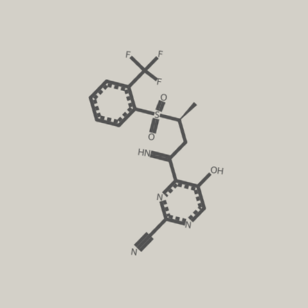 C[C@@H](CC(=N)c1nc(C#N)ncc1O)S(=O)(=O)c1ccccc1C(F)(F)F